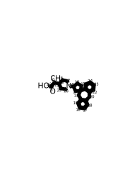 CC(C(=O)O)C1CCN(C2CCC3(Cc4ccccc4Cc4ccccc43)C2)CC1